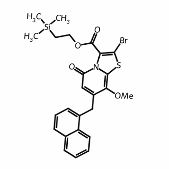 COc1c(Cc2cccc3ccccc23)cc(=O)n2c(C(=O)OCC[Si](C)(C)C)c(Br)sc12